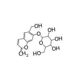 C=C1C=Cc2cc(CO)c(OC3OC(CO)C(O)C(O)C3O)cc2O1